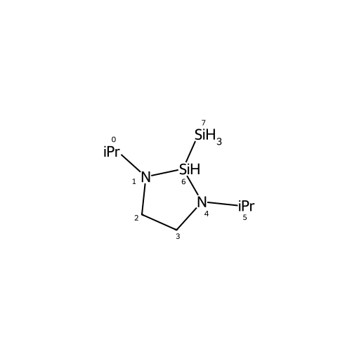 CC(C)N1CCN(C(C)C)[SiH]1[SiH3]